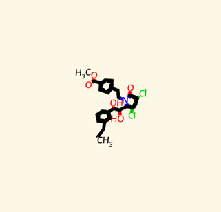 CCCc1cccc(C(O)C(O)c2c(Cl)cc(Cl)c(=O)n2CCc2ccc(C(=O)OC)cc2)c1